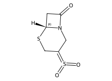 O=C1C[C@H]2SCC(=S(=O)=O)CN12